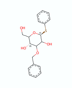 OCC1O[C@@H](Sc2ccccc2)C(O)C(OCc2ccccc2)[C@@H]1O